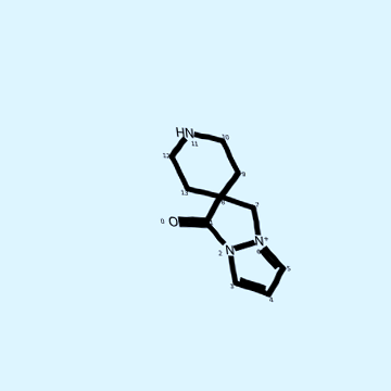 O=C1n2ccc[n+]2CC12CCNCC2